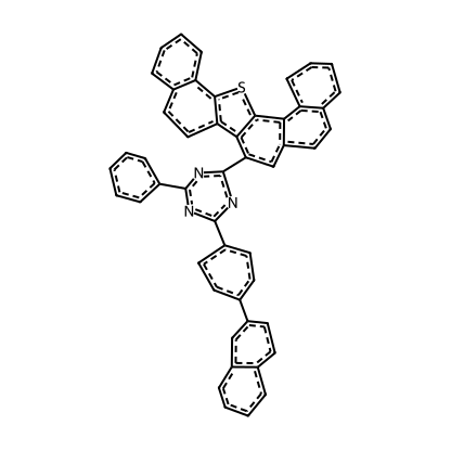 c1ccc(-c2nc(-c3ccc(-c4ccc5ccccc5c4)cc3)nc(-c3cc4ccc5ccccc5c4c4sc5c6ccccc6ccc5c34)n2)cc1